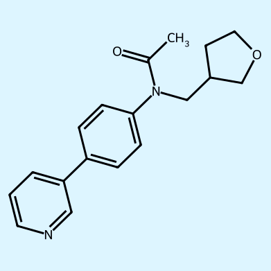 CC(=O)N(CC1CCOC1)c1ccc(-c2cccnc2)cc1